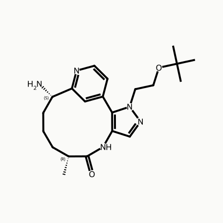 C[C@@H]1CCC[C@H](N)c2cc(ccn2)-c2c(cnn2CCOC(C)(C)C)NC1=O